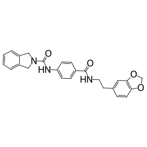 O=C(NCCc1ccc2c(c1)OCO2)c1ccc(NC(=O)N2Cc3ccccc3C2)cc1